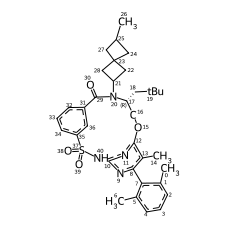 Cc1cccc(C)c1-c1nc2nc(c1C)OC[C@@H](CC(C)(C)C)N(C1CC3(CC(C)C3)C1)C(=O)c1cccc(c1)S(=O)(=O)N2